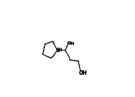 OCCC(O)[SiH]1CCCC1